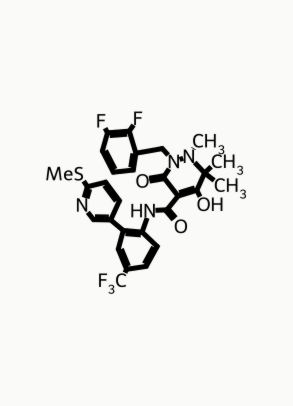 CSc1ccc(-c2cc(C(F)(F)F)ccc2NC(=O)C2=C(O)C(C)(C)N(C)N(Cc3cccc(F)c3F)C2=O)cn1